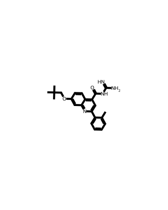 Cc1ccccc1-c1cc(C(=O)NC(=N)N)c2ccc(OCC(C)(C)C)cc2n1